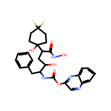 O=C(NC(Cc1ccccc1)C(O)CC(C(=O)NO)C1(O)CCC(F)(F)CC1)Oc1cnc2ccccc2n1